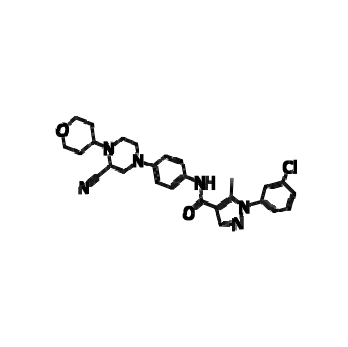 Cc1c(C(=O)Nc2ccc(N3CCN(C4CCOCC4)C(C#N)C3)cc2)cnn1-c1cccc(Cl)c1